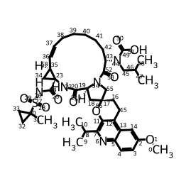 COc1ccc2nc(C(C)C)c3c(c2c1)CC[C@]1(C[C@H]2C(=O)N[C@]4(C(=O)NS(=O)(=O)C5(C)CC5)C[C@H]4/C=C\CCCCC[C@H](N(CC(C)C)C(=O)O)C(=O)N2C1)O3